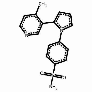 Cc1ccncc1-c1cccn1-c1ccc(S(N)(=O)=O)cc1